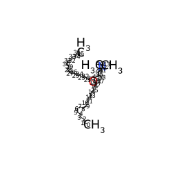 CCCCC/C=C\C/C=C\CCCCCCCCC1(OCCCCCCC/C=C\C/C=C\CCCCC)CCC(CCN(C)C)C1